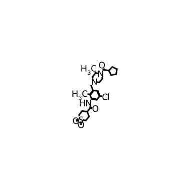 Cc1c(CN2CCN(C(=O)C3CCCC3)C(C)C2)cc(Cl)cc1NC(=O)C1CCS(=O)(=O)CC1